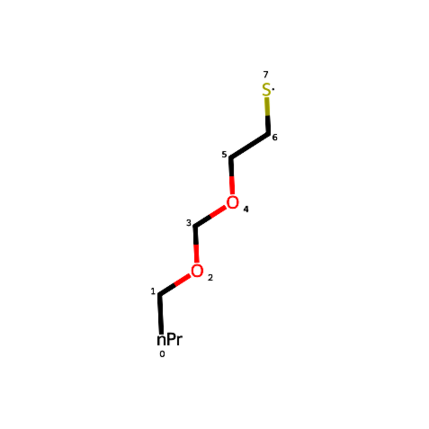 CCCCOCOCC[S]